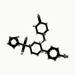 O=C1CCN(C[C@H]2CN(S(=O)(=O)c3cccs3)CCN2c2ccc(O)cc2)CC1